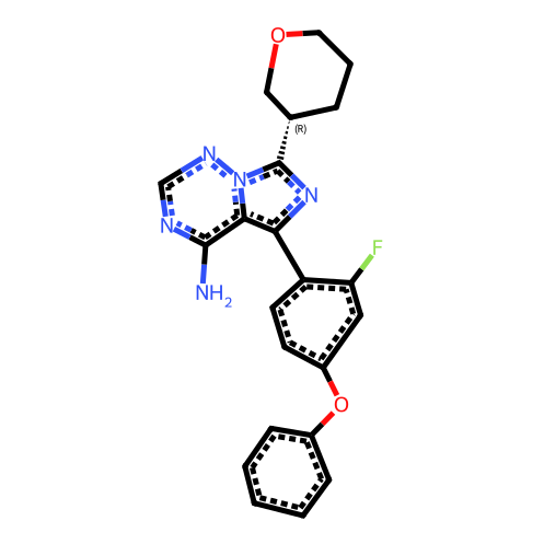 Nc1ncnn2c([C@H]3CCCOC3)nc(-c3ccc(Oc4ccccc4)cc3F)c12